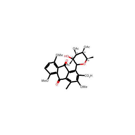 COc1ccc(OC)c2c1C(=O)c1c(C)c(OC)c(C(=O)O)c(C3O[C@H](C)[C@H](OC(C)=O)[C@H](OC(C)=O)[C@]3(O)C(C)=O)c1C2=O